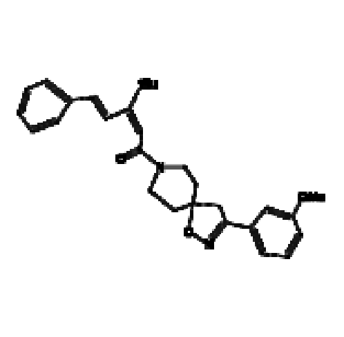 COc1cccc(C2=NOC3(CCN(C(=O)C=C(C=Cc4ccccc4)C(C)(C)C)CC3)C2)c1